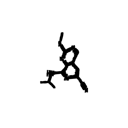 CSc1ncc2cc(C#N)nc(NC(C)C)c2n1